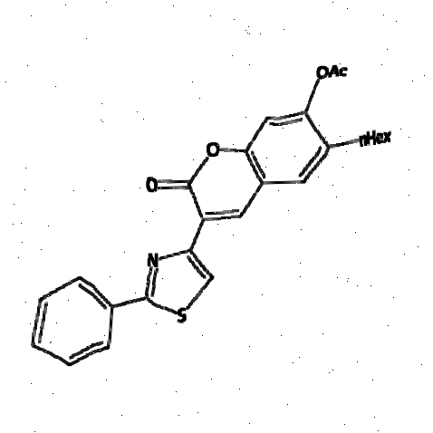 CCCCCCc1cc2cc(-c3csc(-c4ccccc4)n3)c(=O)oc2cc1OC(C)=O